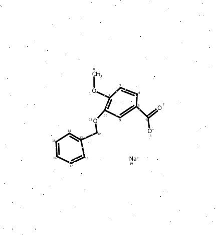 COc1ccc(C(=O)[O-])cc1OCc1ccccc1.[Na+]